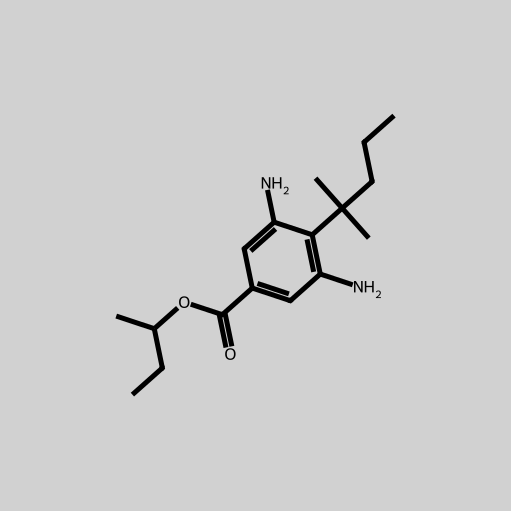 CCCC(C)(C)c1c(N)cc(C(=O)OC(C)CC)cc1N